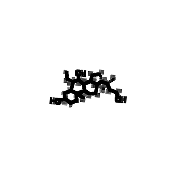 CC[C@@H]1C2C[C@H](O)CCC2(C)C2CC[C@@]3(C)C(CC[C@@H]3[C@H](C)CCO)C2[C@@H]1O